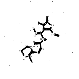 C=Nc1sc(C)c(C)c1/C(=N\C)NC(=C)/C=C\C1=C(C)OCCO1